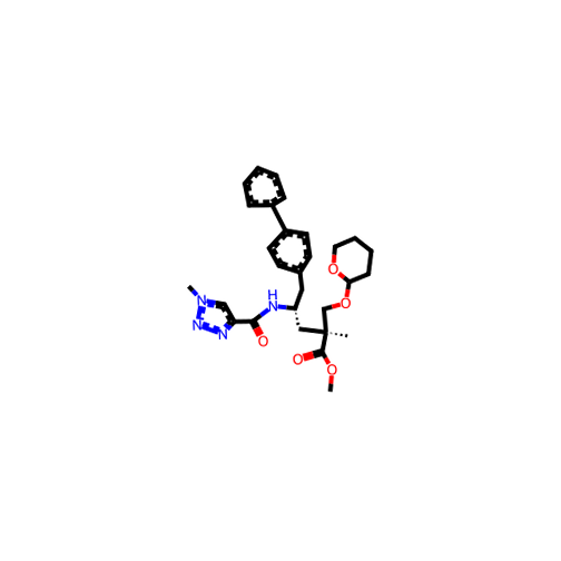 COC(=O)[C@](C)(COC1CCCCO1)C[C@@H](Cc1ccc(-c2ccccc2)cc1)NC(=O)c1cn(C)nn1